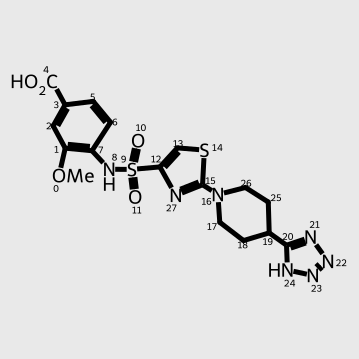 COc1cc(C(=O)O)ccc1NS(=O)(=O)c1csc(N2CCC(c3nnn[nH]3)CC2)n1